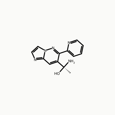 C[C@](N)(O)c1cc2nccn2nc1-c1ccccn1